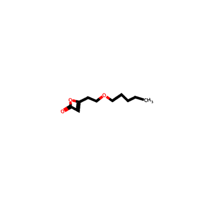 CCCCCOCCC1=CC(=O)O1